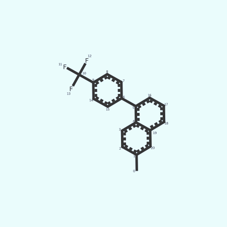 Cc1ccc2c(-c3ccc(C(F)(F)F)cc3)cccc2c1